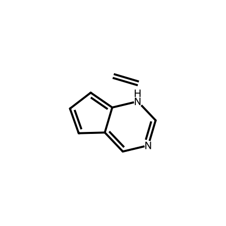 C=C.c1cc2cnc[nH]c-2c1